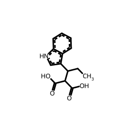 CCC(c1c[nH]c2ccccc12)C(C(=O)O)C(=O)O